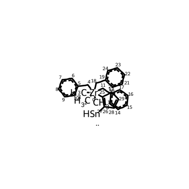 [CH3][Zr]([CH3])([CH3])([CH2]c1ccccc1)([CH2]c1ccccc1)([CH2]c1ccccc1)[C]1=[C]([SnH])C=CC1